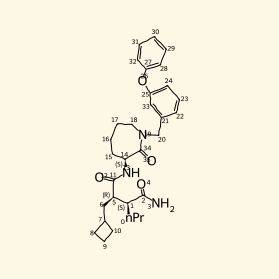 CCC[C@H](C(N)=O)[C@@H](CC1CCC1)C(=O)N[C@H]1CCCCN(Cc2cccc(Oc3ccccc3)c2)C1=O